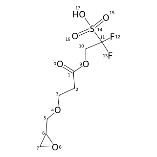 O=C(CCOCC1CO1)OCC(F)(F)S(=O)(=O)O